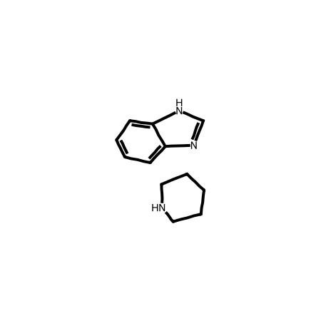 C1CCNCC1.c1ccc2[nH]cnc2c1